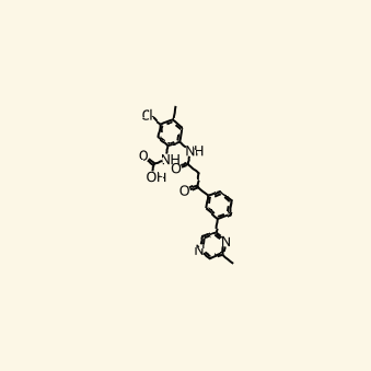 Cc1cncc(-c2cccc(C(=O)CC(=O)Nc3cc(C)c(Cl)cc3NC(=O)O)c2)n1